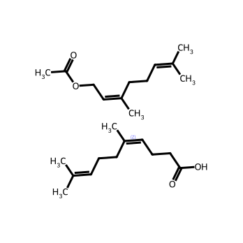 CC(=O)OCC=C(C)CCC=C(C)C.CC(C)=CCC/C(C)=C\CCC(=O)O